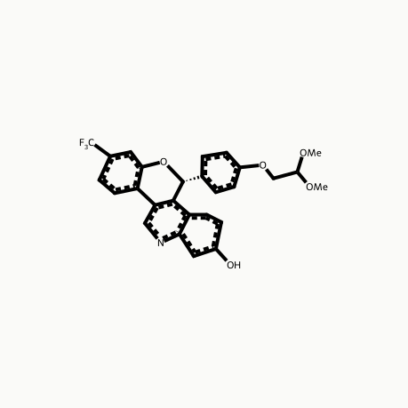 COC(COc1ccc([C@H]2Oc3cc(C(F)(F)F)ccc3-c3cnc4cc(O)ccc4c32)cc1)OC